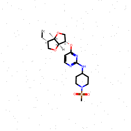 CC(=O)C[C@H]1CO[C@@H]2[C@@H](Oc3ccnc(NC4CCN(S(C)(=O)=O)CC4)n3)CO[C@]12C